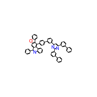 c1ccc(-c2cccc(-c3cc(-c4cccc(-c5ccc(-c6c7c(cc8c(-c9ccccc9)nc9ccccc9c68)oc6ccccc67)cc5)c4)nc(-c4cccc(-c5ccccc5)c4)n3)c2)cc1